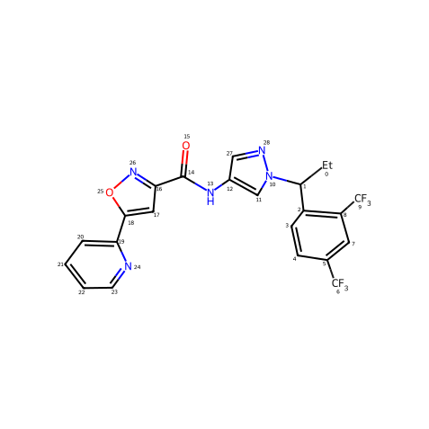 CCC(c1ccc(C(F)(F)F)cc1C(F)(F)F)n1cc(NC(=O)c2cc(-c3ccccn3)on2)cn1